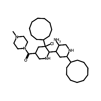 CN1CCN(C(=O)C2CNC(C3CC(C4CCCCCCCCC4)NCC3N)C(Cl)(C3CCCCCCCCC3)C2)CC1